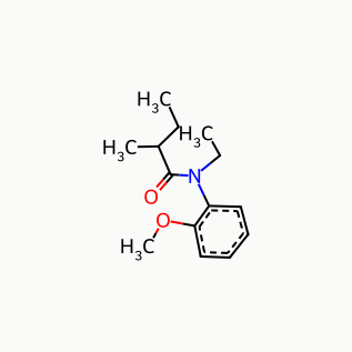 CCC(C)C(=O)N(CC)c1ccccc1OC